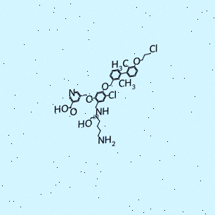 Cc1c(COc2cc(OCc3cncc(C(=O)O)c3)c(CN[C@H](CO)CCCCN)cc2Cl)cccc1-c1cccc(OCCCCl)c1C